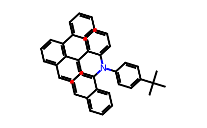 CC(C)(C)c1ccc(N(c2ccccc2-c2cccc3cccc(-c4ccccc4)c23)c2cccc3ccccc23)cc1